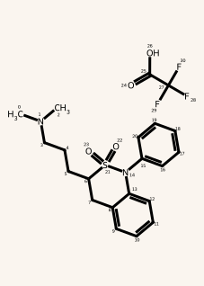 CN(C)CCCC1Cc2ccccc2N(c2ccccc2)S1(=O)=O.O=C(O)C(F)(F)F